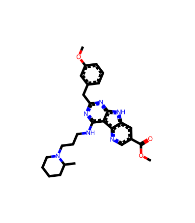 COC(=O)c1cnc2c(c1)[nH]c1nc(Cc3cccc(OC)c3)nc(NCCCN3CCCCC3C)c12